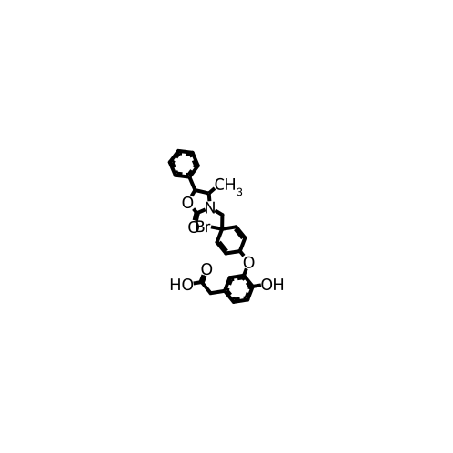 CC1C(c2ccccc2)OC(=O)N1CC1(Br)C=CC(Oc2cc(CC(=O)O)ccc2O)C=C1